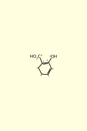 O=C(O)C1=C(O)C=CCC1